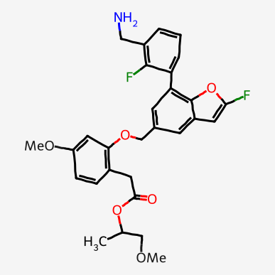 COCC(C)OC(=O)Cc1ccc(OC)cc1OCc1cc(-c2cccc(CN)c2F)c2oc(F)cc2c1